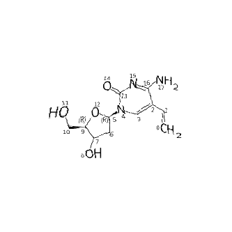 C=Cc1cn([C@H]2CC(O)[C@@H](CO)O2)c(=O)nc1N